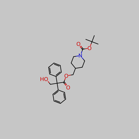 CC(C)(C)OC(=O)N1CCC(COC(=O)C(CO)(c2ccccc2)c2ccccc2)CC1